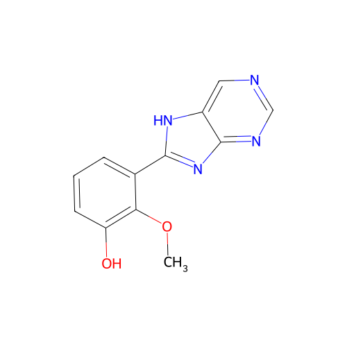 COc1c(O)cccc1-c1nc2ncncc2[nH]1